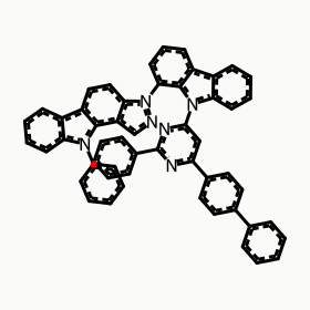 c1ccc(-c2ccc(-c3cc(-n4c5ccccc5c5cccc(-n6ncc7c6ccc6c8ccccc8n(-c8ccccc8)c67)c54)nc(-c4ccccc4)n3)cc2)cc1